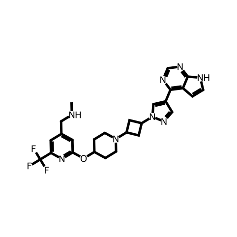 CNCc1cc(OC2CCN(C3CC(n4cc(-c5ncnc6[nH]ccc56)cn4)C3)CC2)nc(C(F)(F)F)c1